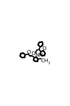 CCc1cccc(C=CC(=O)c2ccccc2)c1NC(=O)CC1c2ccccc2Oc2ccccc21